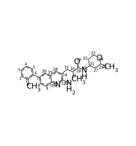 Cc1ccccc1-c1ccc2nc(N)c(CC(C)C(=O)NC3CCOC(C)C3)cc2c1